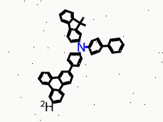 [2H]c1ccc2c3ccc(-c4ccc(N(c5ccc(-c6ccccc6)cc5)c5ccc6c(c5)C(C)(C)c5ccccc5-6)cc4)cc3c3ccccc3c2c1